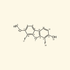 CCCOc1ccc2c(oc3c(F)c(O)ccc32)c1F